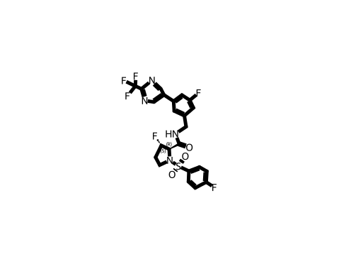 O=C(NCc1cc(F)cc(-c2cnc(C(F)(F)F)nc2)c1)[C@@H]1[C@@H](F)CCN1S(=O)(=O)c1ccc(F)cc1